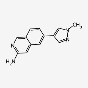 Cn1cc(-c2ccc3cnc(N)cc3c2)cn1